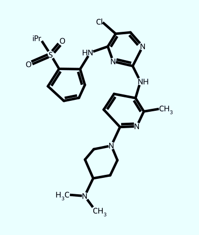 Cc1nc(N2CCC(N(C)C)CC2)ccc1Nc1ncc(Cl)c(Nc2ccccc2S(=O)(=O)C(C)C)n1